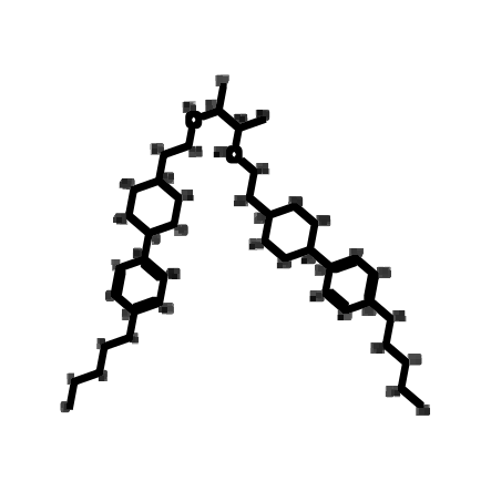 CCCCCc1ccc(C2CCC(CCOC(C)C(C)OCCC3CCC(c4ccc(CCCCC)cc4)CC3)CC2)cc1